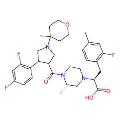 Cc1ccc(C[C@@H](C(=O)O)N2CCN(C(=O)C3CN(C4(C)CCOCC4)CC3c3ccc(F)cc3F)[C@@H](C)C2)c(F)c1